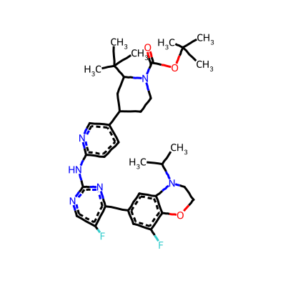 CC(C)N1CCOc2c(F)cc(-c3nc(Nc4ccc(C5CCN(C(=O)OC(C)(C)C)C(C(C)(C)C)C5)cn4)ncc3F)cc21